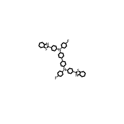 Fc1ccc(N(c2ccc(-c3ccc(N(c4ccc(F)cc4)c4ccc(-c5nc6ccccc6s5)cc4)cc3)cc2)c2ccc(-c3nc4ccccc4s3)cc2)cc1